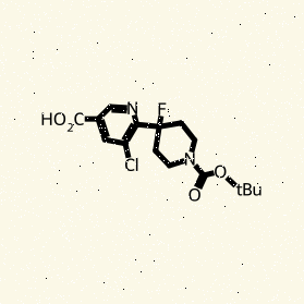 CC(C)(C)OC(=O)N1CCC(F)(c2ncc(C(=O)O)cc2Cl)CC1